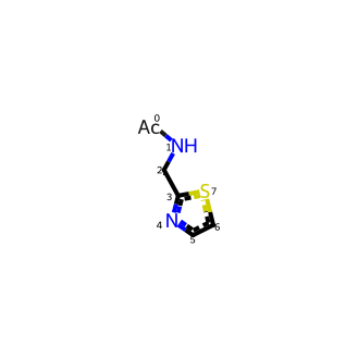 CC(=O)N[CH]c1nccs1